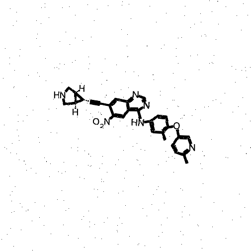 Cc1ccc(Oc2ccc(Nc3ncnc4cc(C#C[C@@H]5[C@H]6CNC[C@@H]56)c([N+](=O)[O-])cc34)cc2C)cn1